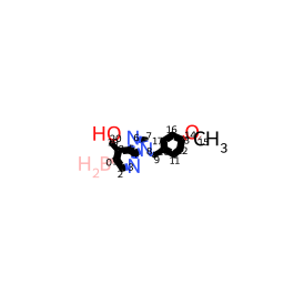 Bc1cnc2c(ncn2Cc2ccc(OC)cc2)c1CO